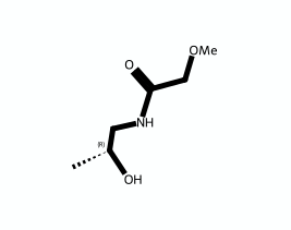 COCC(=O)NC[C@@H](C)O